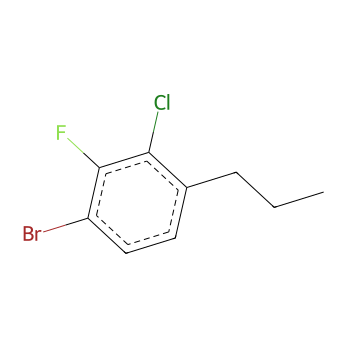 CCCc1ccc(Br)c(F)c1Cl